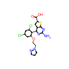 Nc1nc(-c2c(Cl)cc(Cl)cc2OCCn2cccn2)c2cc(C(=O)O)sc2n1